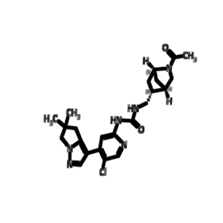 CC(=O)N1C[C@H]2C[C@@H]1C[C@H]2CNC(=O)Nc1cc(-c2cnn3c2CC(C)(C)C3)c(Cl)cn1